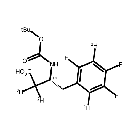 [2H]c1c(F)c(F)c([2H])c(C[C@@H](NC(=O)OC(C)(C)C)C([2H])([2H])C(=O)O)c1F